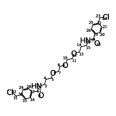 O=C(NCCCOCCOCCOCCCNC(=O)c1ccc(CCl)cc1)c1ccc(CCl)cc1